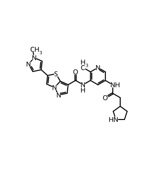 Cc1ncc(NC(=O)CC2CCNC2)cc1NC(=O)c1cnn2cc(-c3cnn(C)c3)sc12